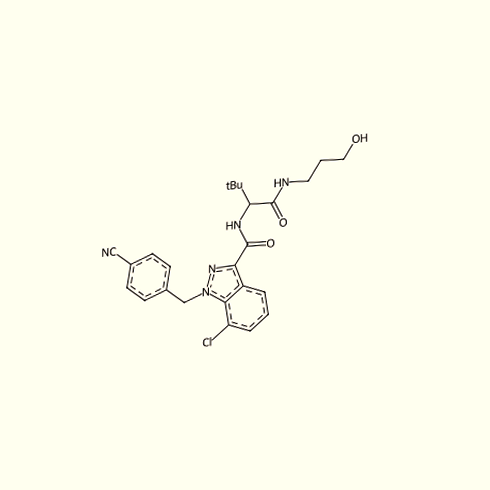 CC(C)(C)C(NC(=O)c1nn(Cc2ccc(C#N)cc2)c2c(Cl)cccc12)C(=O)NCCCO